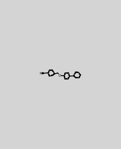 N#Cc1ccc(COc2ccc(-c3ccccc3)cc2)cc1